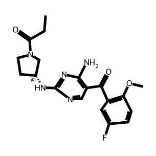 CCC(=O)N1CC[C@@H](Nc2ncc(C(=O)c3cc(F)ccc3OC)c(N)n2)C1